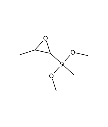 CO[Si](C)(OC)C1OC1C